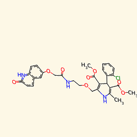 COC(=O)C1=C(C)NC(COCCNC(=O)COc2ccc3[nH]c(=O)ccc3c2)=C(C(=O)OC)C1c1ccccc1Cl